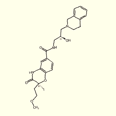 COCC[C@]1(I)Oc2ccc(C(=O)NC[C@H](O)CN3CCc4ccccc4C3)cc2NC1=O